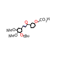 COc1cc(/C=C/C(=O)c2cccc(OCC(=O)O)c2)cc(OC(C)(C)C)c1OC